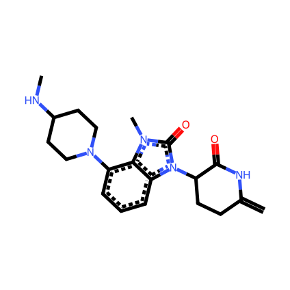 C=C1CCC(n2c(=O)n(C)c3c(N4CCC(NC)CC4)cccc32)C(=O)N1